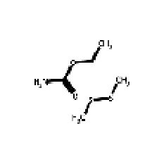 CCOC(N)=O.CSSC